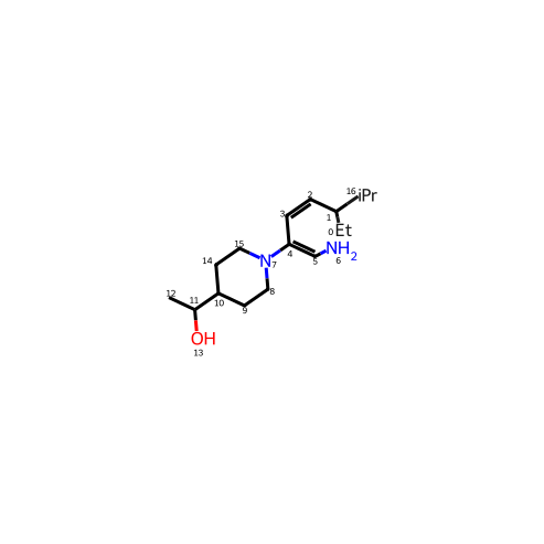 CCC(/C=C\C(=C/N)N1CCC(C(C)O)CC1)C(C)C